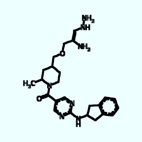 CC1CC(COC/C(N)=C/NN)CCN1C(=O)c1cnc(NC2Cc3ccccc3C2)nc1